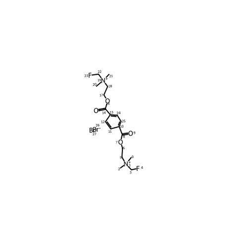 C[N+](C)(CF)CCOC(=O)c1ccc(C(=O)OCC[N+](C)(C)CF)cc1.[Br-].[Br-]